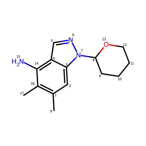 Cc1cc2c(cnn2C2CCCCO2)c(N)c1C